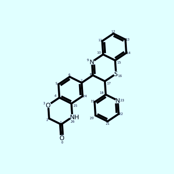 O=C1COc2ccc(C3=Nc4ccccc4SC3c3ccccn3)cc2N1